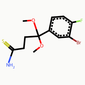 COC(CCC(N)=S)(OC)c1ccc(F)c(Br)c1